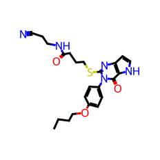 CCCCOc1ccc(-n2c(SCCCC(=O)NCCC#N)nc3cc[nH]c3c2=O)cc1